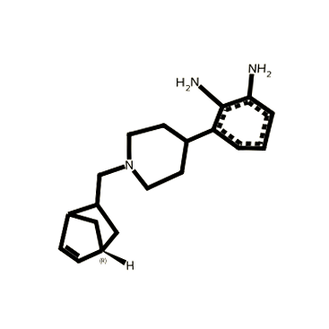 Nc1cccc(C2CCN(CC3C[C@@H]4C=CC3C4)CC2)c1N